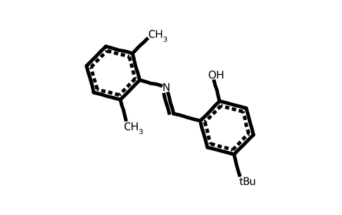 Cc1cccc(C)c1/N=C/c1cc(C(C)(C)C)ccc1O